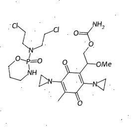 COC(COC(N)=O)C1=C(N2CC2)C(=O)C(C)=C(N2CC2)C1=O.O=P1(N(CCCl)CCCl)NCCCO1